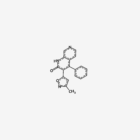 Cc1cc(-c2c(-c3ccccc3)c3ccncc3[nH]c2=O)on1